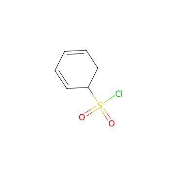 O=S(=O)(Cl)C1C=CC=CC1